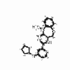 CN1C(=O)C(NC(=O)c2cc(OC3CCCC3)ccn2)COc2ccccc21